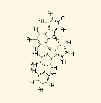 [2H]c1c([2H])c([2H])c(-c2c([2H])c([2H])c3c(c2[2H])c2c([2H])c([2H])c([2H])c([2H])c2n3-c2c([2H])c([2H])c([2H])c3c2oc2c([2H])c(Cl)c([2H])c([2H])c23)c([2H])c1[2H]